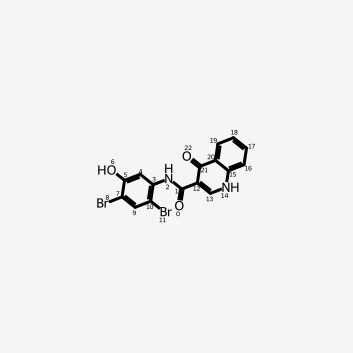 O=C(Nc1cc(O)c(Br)cc1Br)c1c[nH]c2ccccc2c1=O